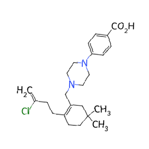 C=C(Cl)CCC1=C(CN2CCN(c3ccc(C(=O)O)cc3)CC2)CC(C)(C)CC1